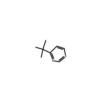 CC(C)(C)c1ccpcn1